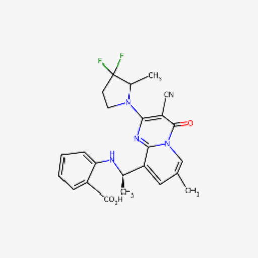 Cc1cc([C@@H](C)Nc2ccccc2C(=O)O)c2nc(N3CCC(F)(F)C3C)c(C#N)c(=O)n2c1